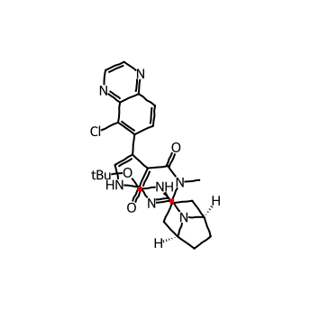 Cn1c(N2[C@@H]3CC[C@H]2C[C@@H](NC(=O)OC(C)(C)C)C3)nc2[nH]cc(-c3ccc4nccnc4c3Cl)c2c1=O